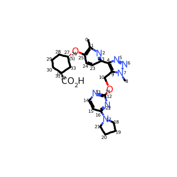 Cc1nc(-c2nnn(C)c2COc2nccc(N3CCCC3)n2)ccc1O[C@H]1CCC[C@H](C(=O)O)C1